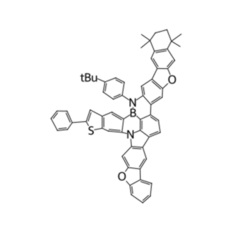 CC(C)(C)c1ccc(N2B3c4cc5cc(-c6ccccc6)sc5cc4-n4c5cc6oc7ccccc7c6cc5c5ccc(c3c54)-c3cc4oc5cc6c(cc5c4cc32)C(C)(C)CCC6(C)C)cc1